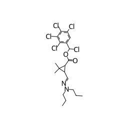 CCCN(CCC)N=CC1C(C(=O)OC(Cl)c2cc(Cl)c(Cl)c(Cl)c2Cl)C1(C)C